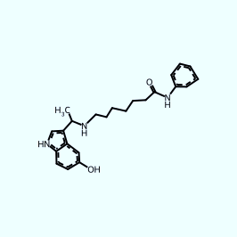 CC(NCCCCCCC(=O)Nc1ccccc1)c1c[nH]c2ccc(O)cc12